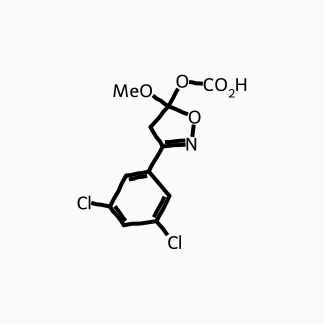 COC1(OC(=O)O)CC(c2cc(Cl)cc(Cl)c2)=NO1